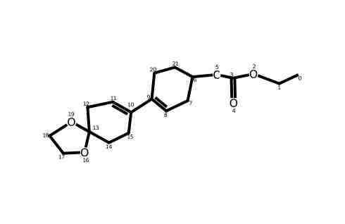 CCOC(=O)CC1CC=C(C2=CCC3(CC2)OCCO3)CC1